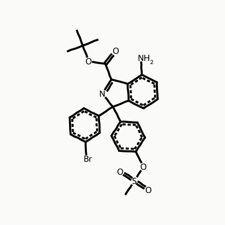 CC(C)(C)OC(=O)C1=NC(c2ccc(OS(C)(=O)=O)cc2)(c2cccc(Br)c2)c2cccc(N)c21